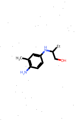 CCC(CO)Nc1ccc(N)c(C)c1